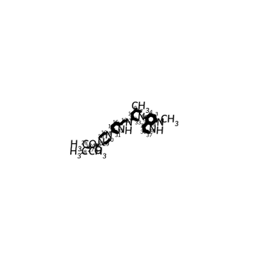 CNc1ccc(N2C[C@@H](C)C[C@@H](NCc3ccc(N4CCN(C(=O)OC(C)(C)C)CC4)cn3)C2)c2cccnc12